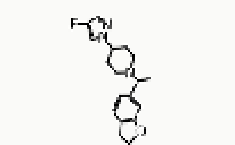 CC(c1ccc2c(c1)OCC2)N1CCC(n2cc(F)cn2)CC1